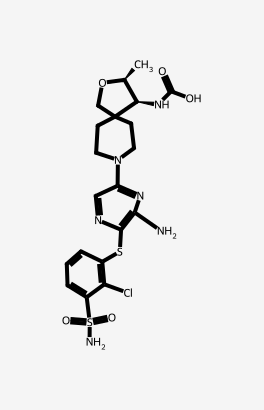 C[C@@H]1OCC2(CCN(c3cnc(Sc4cccc(S(N)(=O)=O)c4Cl)c(N)n3)CC2)[C@@H]1NC(=O)O